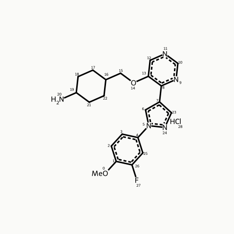 COc1ccc(-n2cc(-c3ncncc3OCC3CCC(N)CC3)cn2)cc1F.Cl